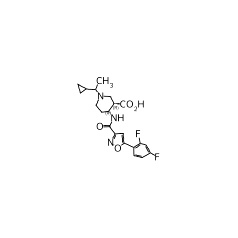 CC(C1CC1)N1CC[C@@H](NC(=O)c2cc(-c3ccc(F)cc3F)on2)[C@H](C(=O)O)C1